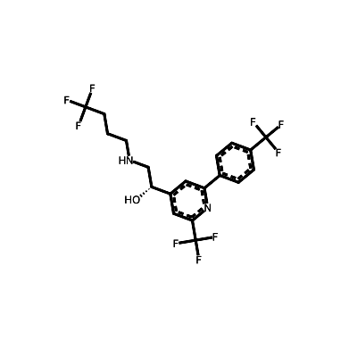 O[C@H](CNCCCC(F)(F)F)c1cc(-c2ccc(C(F)(F)F)cc2)nc(C(F)(F)F)c1